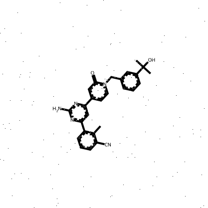 Cc1c(C#N)cccc1-c1cc(-c2ccn(Cc3cccc(C(C)(C)O)c3)c(=O)c2)nc(N)n1